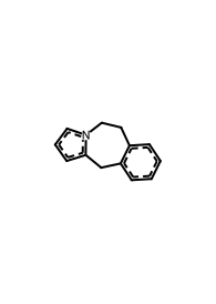 c1ccc2c(c1)CCn1cccc1C2